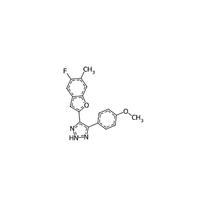 COc1ccc(-c2n[nH]nc2-c2cc3cc(F)c(C)cc3o2)cc1